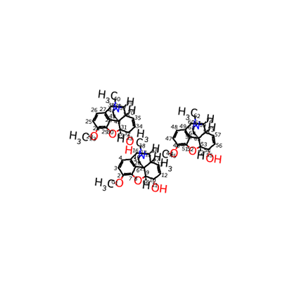 COc1ccc2c3c1O[C@H]1[C@@H](O)C=C[C@H]4[C@@H](C2)N(C)CC[C@@]341.COc1ccc2c3c1O[C@H]1[C@@H](O)C=C[C@H]4[C@@H](C2)N(C)CC[C@@]341.COc1ccc2c3c1O[C@H]1[C@@H](O)C=C[C@H]4[C@@H](C2)N(C)CC[C@@]341